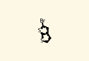 Brc1cc2ccsc2s1